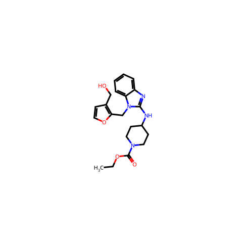 CCOC(=O)N1CCC(Nc2nc3ccccc3n2Cc2occc2CO)CC1